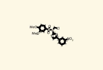 COc1ccc(S(=O)(=O)N(CCl)c2nc(-c3cccc([N+](=O)[O-])c3)cs2)cc1OC